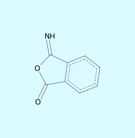 N=C1OC(=O)c2ccccc21